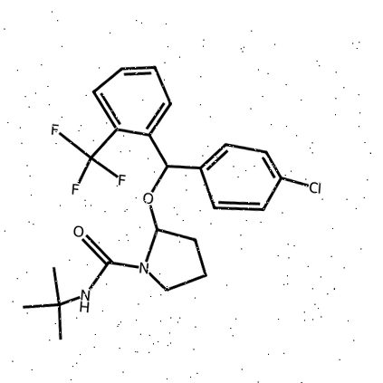 CC(C)(C)NC(=O)N1CCCC1OC(c1ccc(Cl)cc1)c1ccccc1C(F)(F)F